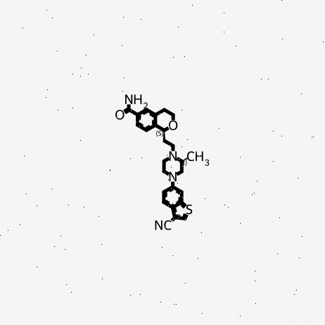 C[C@@H]1CN(c2ccc3c(C#N)csc3c2)CCN1CC[C@@H]1OCCc2cc(C(N)=O)ccc21